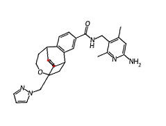 Cc1cc(N)nc(C)c1CNC(=O)c1ccc2c(c1)C1CCOCCC2c2ccc(Cn3cccn3)cc21